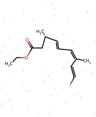 CCOC(=O)C[C@H](C)/C=C/C=C(C)\C=C\I